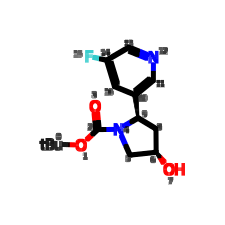 CC(C)(C)OC(=O)N1C[C@H](O)C[C@@H]1c1cncc(F)c1